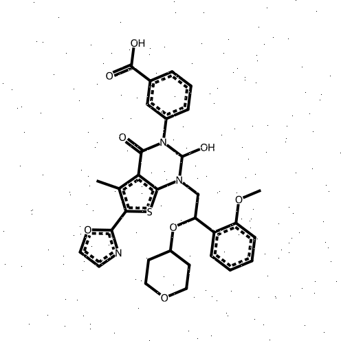 COc1ccccc1C(CN1c2sc(-c3ncco3)c(C)c2C(=O)N(c2cccc(C(=O)O)c2)C1O)OC1CCOCC1